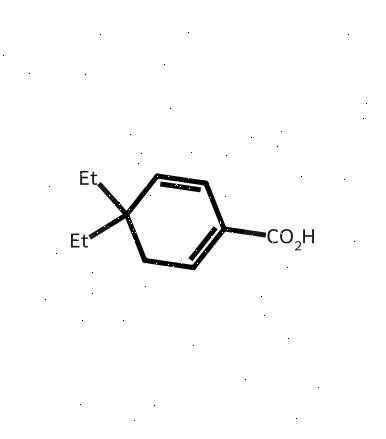 CCC1(CC)C=CC(C(=O)O)=CC1